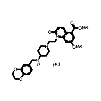 COC(=O)c1cc(OC)cc2c1ccc(=O)n2CCN1CCC(NCc2ccc3c(c2)OCCO3)CC1.Cl